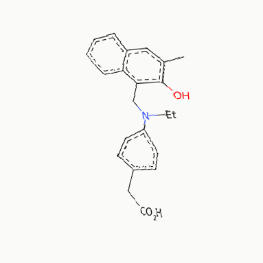 CCN(Cc1c(O)c(C)cc2ccccc12)c1ccc(CC(=O)O)cc1